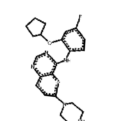 Fc1ccc(Nc2ncnc3ccc(N4CCNCC4)nc23)c(OC2CCCC2)c1